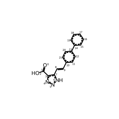 O=C(O)c1nn[nH]c1C=Cc1ccc(-c2ccccc2)cc1